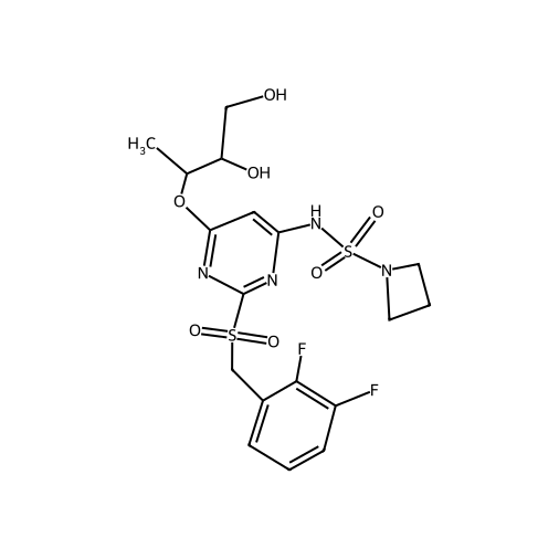 CC(Oc1cc(NS(=O)(=O)N2CCC2)nc(S(=O)(=O)Cc2cccc(F)c2F)n1)C(O)CO